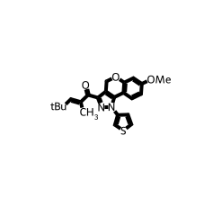 COc1ccc2c(c1)OCc1c(C(=O)/C(C)=C/C(C)(C)C)nn(-c3ccsc3)c1-2